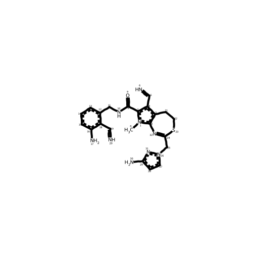 Cn1c2c(c(C=N)c1C(=O)NCc1cccc(N)c1C=N)CCSC(Cn1ccc(N)n1)=N2